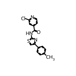 Cc1ccc(-c2csc(NC(=O)c3ccnc(Cl)c3)n2)cc1